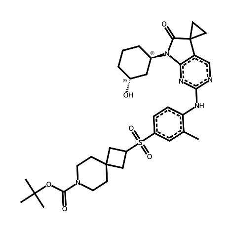 Cc1cc(S(=O)(=O)C2CC3(CCN(C(=O)OC(C)(C)C)CC3)C2)ccc1Nc1ncc2c(n1)N([C@@H]1CCC[C@@H](O)C1)C(=O)C21CC1